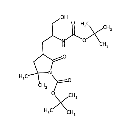 CC(C)(C)OC(=O)NC(CO)CC1CC(C)(C)N(C(=O)OC(C)(C)C)C1=O